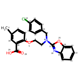 Cc1ccc(OCCN(Cc2ccc(Cl)cc2)c2nc3ccccc3o2)c(C(=O)O)c1